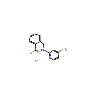 Cc1ccnc(NCc2ccccc2C(=O)[O-])c1.[K+]